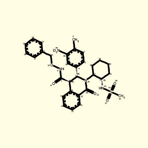 Cc1ccc([C@H]2[C@H](C(=O)NOCc3ccccc3)c3ccccc3C(=O)N2C2CCCC[C@@H]2NS(C)(=O)=O)cc1[N+](=O)[O-]